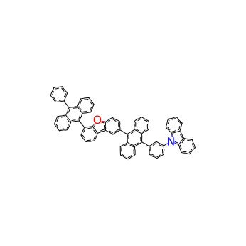 c1ccc(-c2c3ccccc3c(-c3cccc4c3oc3ccc(-c5c6ccccc6c(-c6cccc(-n7c8ccccc8c8ccccc87)c6)c6ccccc56)cc34)c3ccccc23)cc1